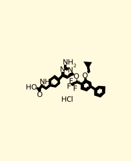 Cl.Nc1nc(O[C@H](c2ccc(-c3ccccc3)cc2OCC2CC2)C(F)(F)F)cc(C2=CCC(C[C@H](N)C(=O)O)CC2)n1